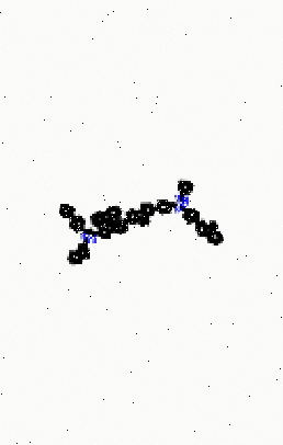 CC1(C)C2=CC(c3ccc(-c4nc(-c5ccccc5)nc(-c5ccc(-c6ccc7c(c6)C(C)(C)c6cc(-c8ccc9c(c8)C8(c%10ccccc%10-c%10ccccc%108)c8cc(-c%10cc(-c%11ccc(-c%12ccccc%12)cc%11)nc(-c%11ccc%12ccccc%12c%11)n%10)ccc8-9)ccc6-7)cc5)n4)cc3)=CCC2(C)c2ccccc21